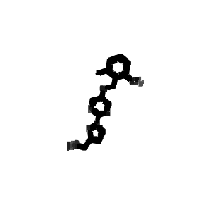 Cc1cccc(C(F)(F)F)c1COc1cnc(-n2ccc(CO)n2)nc1